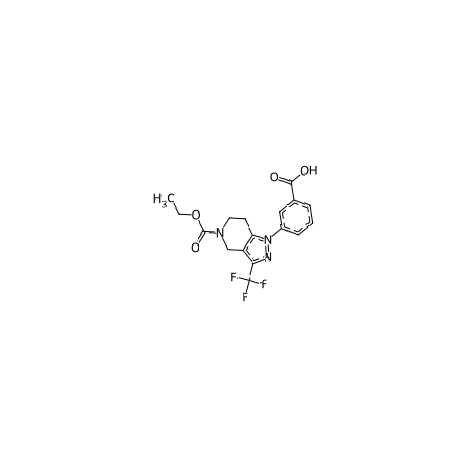 CCOC(=O)N1CCc2c(c(C(F)(F)F)nn2-c2cccc(C(=O)O)c2)C1